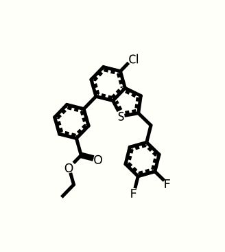 CCOC(=O)c1cccc(-c2ccc(Cl)c3cc(Cc4ccc(F)c(F)c4)sc23)c1